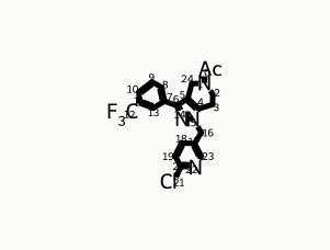 CC(=O)N1CCc2c(c(-c3cccc(C(F)(F)F)c3)nn2Cc2ccc(Cl)nc2)C1